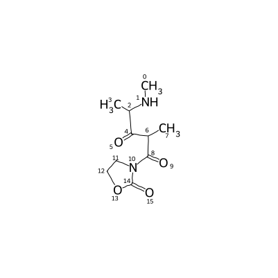 CNC(C)C(=O)C(C)C(=O)N1CCOC1=O